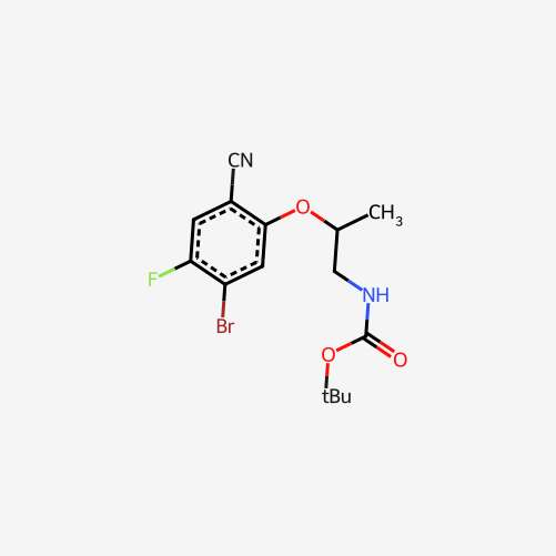 CC(CNC(=O)OC(C)(C)C)Oc1cc(Br)c(F)cc1C#N